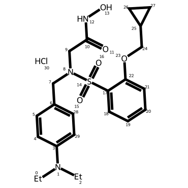 CCN(CC)c1ccc(CN(CC(=O)NO)S(=O)(=O)c2ccccc2OCC2CC2)cc1.Cl